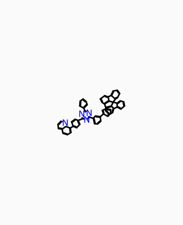 c1ccc(-c2nc(-c3ccc(-c4cccc5cccnc45)cc3)nc(-c3cccc(-c4cccc(-c5cccc6c5C5(c7ccccc7-c7ccccc75)c5ccccc5-6)c4)c3)n2)cc1